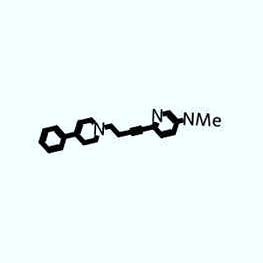 CNc1ccc(C#CCCN2CC=C(c3ccccc3)CC2)nc1